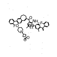 C=C(c1ccc(N/C(N)=C(\C=C(\C)CC)C(=O)C2=Cc3cc(OC4CCN(C5CS(=O)(=O)C5)CC4)c(-c4ccccc4F)cc3CCC2)cc1C)c1ccccc1F